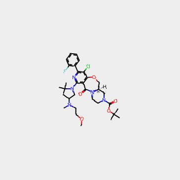 COCCN(C)C1CN(c2nc(-c3ccccc3F)c(Cl)c3c2C(=O)N2CCN(C(=O)OC(C)(C)C)C[C@@H]2CO3)C(C)(C)C1